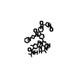 Cc1cc(F)c(Nc2nc(-c3ccc4c(c3)N(C3CC(N5CCCCC5)C3)C(=O)C43CCN(C(=O)C4CCN(C=O)C4)CC3)cc3ncn(C(C)C)c23)cc1C(=O)NC(C)C